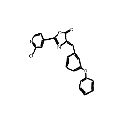 O=C1OC(c2ccnc(Cl)c2)=NC1=Cc1cccc(Oc2ccccc2)c1